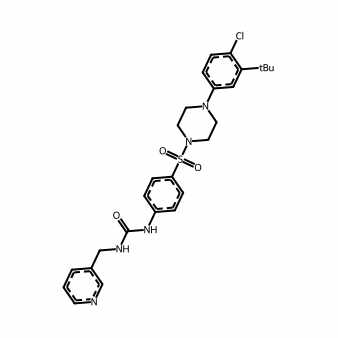 CC(C)(C)c1cc(N2CCN(S(=O)(=O)c3ccc(NC(=O)NCc4cccnc4)cc3)CC2)ccc1Cl